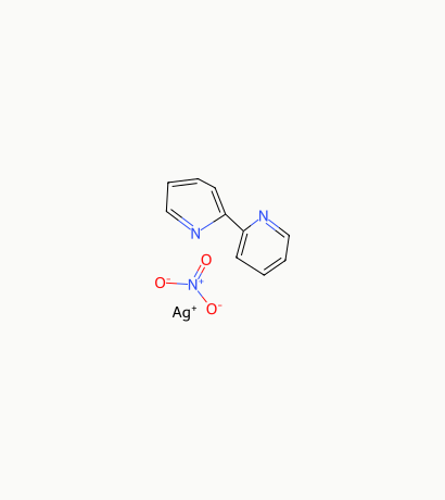 O=[N+]([O-])[O-].[Ag+].c1ccc(-c2ccccn2)nc1